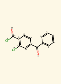 O=C(c1ccccc1)c1ccc(C(=O)Cl)c(Cl)c1